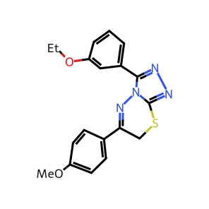 CCOc1cccc(-c2nnc3n2N=C(c2ccc(OC)cc2)CS3)c1